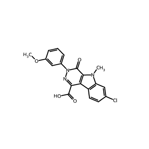 COc1cccc(-n2nc(C(=O)O)c3c4ccc(Cl)cc4n(C)c3c2=O)c1